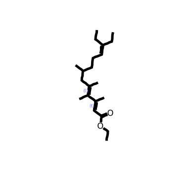 CCOC(=O)/C=C(C)/C(C)=C(\C)CC(C)CCC=C(CC)CC